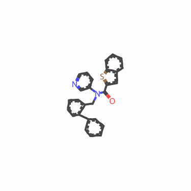 O=C(c1cc2ccccc2s1)N(Cc1ccccc1-c1ccccc1)c1cccnc1